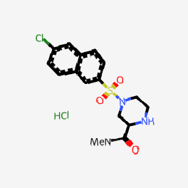 CNC(=O)C1CN(S(=O)(=O)c2ccc3cc(Cl)ccc3c2)CCN1.Cl